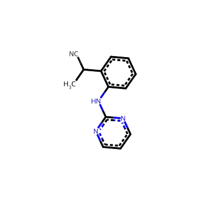 CC(C#N)c1ccccc1Nc1ncccn1